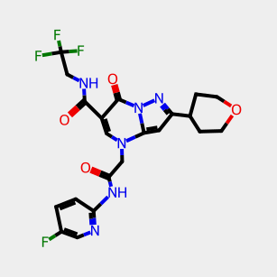 O=C(Cn1cc(C(=O)NCC(F)(F)F)c(=O)n2nc(C3CCOCC3)cc12)Nc1ccc(F)cn1